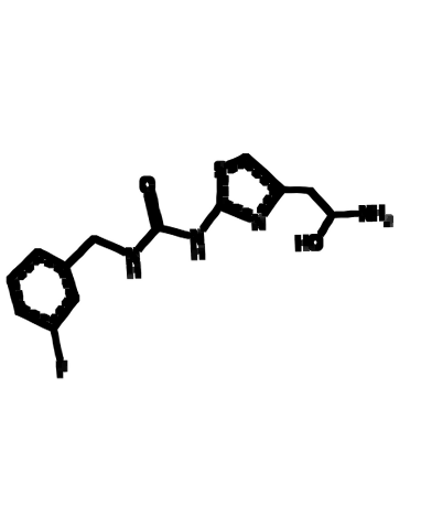 NC(O)Cc1csc(NC(=O)NCc2cccc(F)c2)n1